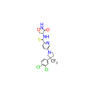 O=C1NOCC1NC(=S)c1ccc(N2CCC(c3ccc(Cl)c(Cl)c3)(C(F)(F)F)C2)cn1